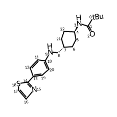 CC(C)(C)C(=O)N[C@H]1CC[C@H](CNc2ccc(-c3nccs3)cc2)CC1